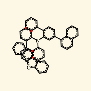 c1ccc(-c2ccc(-c3cccc4ccccc34)cc2N(c2ccccc2-c2ccc3oc4ccccc4c3c2)c2cccc3oc4ccccc4c23)cc1